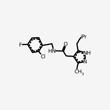 Cc1n[nH]c(CC(C)C)c1CC(=O)NCc1ccc(F)cc1Cl